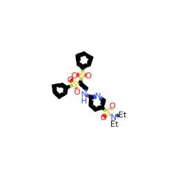 CCN(CC)S(=O)(=O)c1ccc(NC=C(S(=O)(=O)c2ccccc2)S(=O)(=O)c2ccccc2)nc1